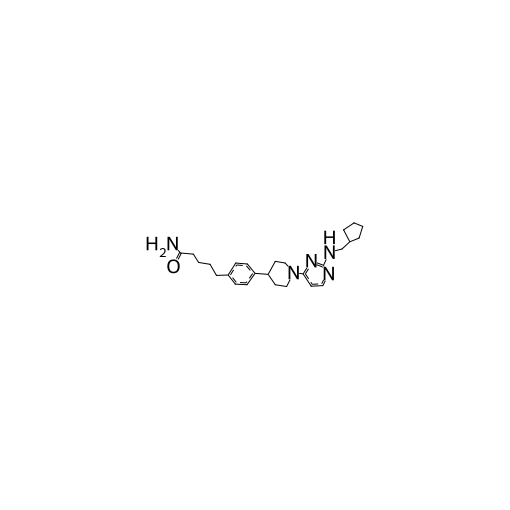 NC(=O)CCCCc1ccc(C2CCN(c3ccnc(NCC4CCCC4)n3)CC2)cc1